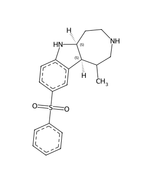 CC1CNCC[C@@H]2Nc3ccc(S(=O)(=O)c4ccccc4)cc3[C@H]12